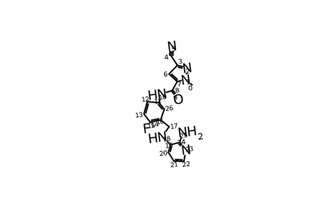 Cn1nc(C#N)cc1C(=O)Nc1ccc(F)c(CNc2cccnc2N)c1